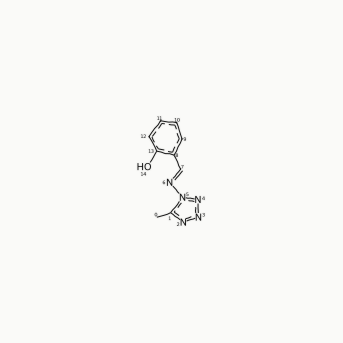 Cc1nnnn1N=Cc1ccccc1O